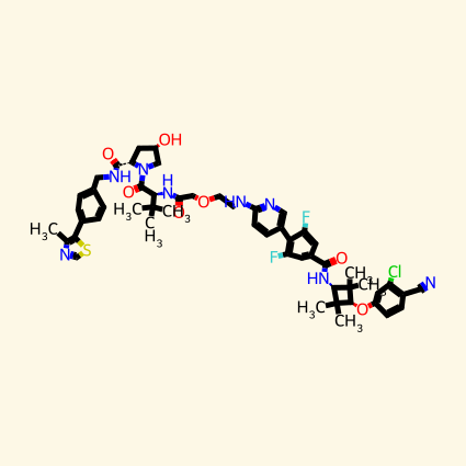 Cc1ncsc1-c1ccc(CNC(=O)[C@@H]2C[C@@H](O)CN2C(=O)[C@@H](NC(=O)COCCNc2ccc(-c3c(F)cc(C(=O)N[C@H]4C(C)(C)[C@H](Oc5ccc(C#N)c(Cl)c5)C4(C)C)cc3F)cn2)C(C)(C)C)cc1